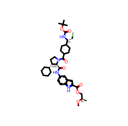 CO[C@H](C)COC(=O)c1cc2cc(NC(=O)[C@H]3[C@H](C4CCCCC4)CCN3C(=O)C3CCC([C@@H](CF)NC(=O)OC(C)(C)C)CC3)ccc2[nH]1